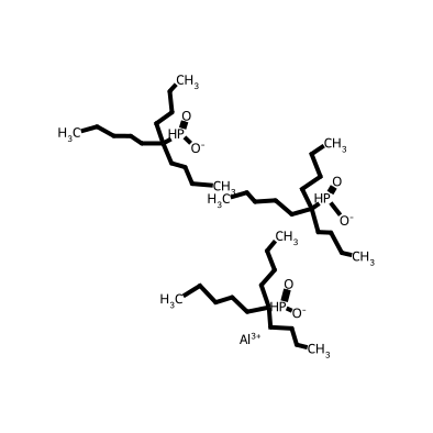 CCCCCC(CCCC)(CCCC)[PH](=O)[O-].CCCCCC(CCCC)(CCCC)[PH](=O)[O-].CCCCCC(CCCC)(CCCC)[PH](=O)[O-].[Al+3]